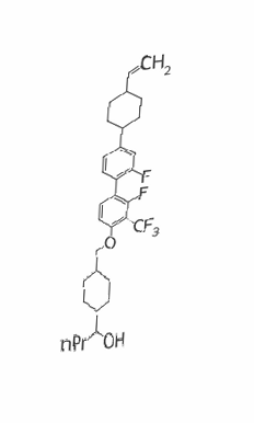 C=CC1CCC(c2ccc(-c3ccc(OCC4CCC(C(O)CCC)CC4)c(C(F)(F)F)c3F)c(F)c2)CC1